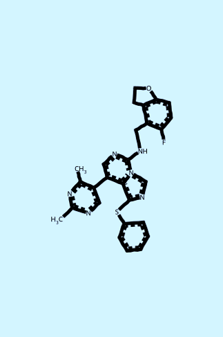 Cc1ncc(-c2cnc(NCc3c(F)ccc4c3CCO4)n3cnc(Sc4ccccc4)c23)c(C)n1